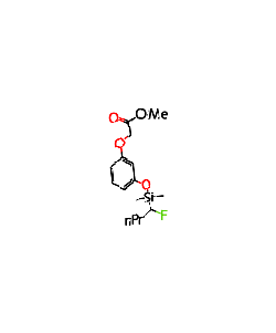 CCCC(F)[Si](C)(C)Oc1cccc(OCC(=O)OC)c1